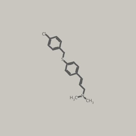 CN(C)CC=Cc1ccc(SCc2ccc(Cl)cc2)cc1